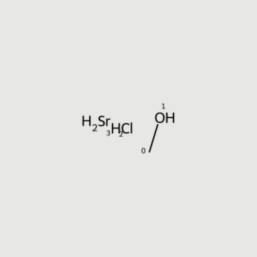 CO.Cl.[SrH2]